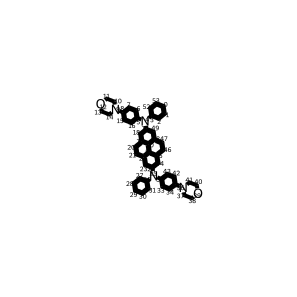 c1ccc(N(c2ccc(N3CCOCC3)cc2)c2cc3ccc4cc(N(c5ccccc5)c5ccc(N6CCOCC6)cc5)cc5ccc(c2)c3c45)cc1